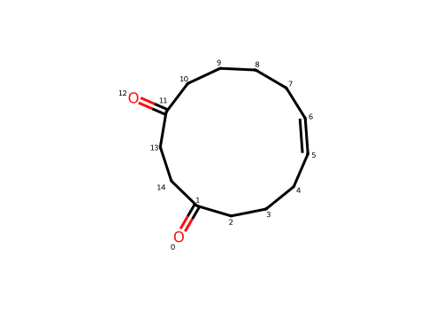 O=C1CCCC=CCCCCC(=O)CC1